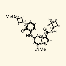 CNc1cc(Nc2cccn([C@H]3C[C@H](OC)C3)c2=O)nc2c(C(=O)NC3CCC3(F)F)cnn12